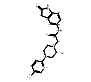 C[C@@H]1CN(c2ccc(C(F)(F)F)cn2)CCN1CC(=O)Nc1ccc2c(c1)CC(=O)N2